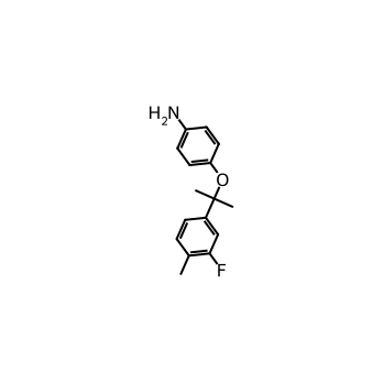 Cc1ccc(C(C)(C)Oc2ccc(N)cc2)cc1F